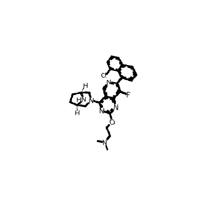 CN(C)CCOc1nc(N2C[C@H]3CC[C@@H](C2)N3)c2cnc(-c3cccc4cccc(Cl)c34)c(F)c2n1